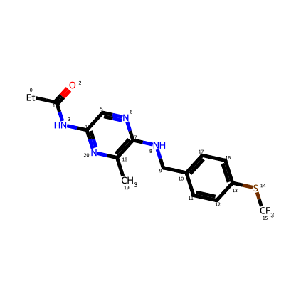 CCC(=O)Nc1cnc(NCc2ccc(SC(F)(F)F)cc2)c(C)n1